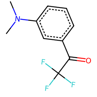 CN(C)c1cccc(C(=O)C(F)(F)F)c1